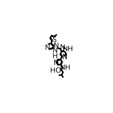 Cc1ccc(-c2cncc3[nH]c(-c4n[nH]c5cnc(-c6cncc(NC(O)CC(C)C)c6)cc45)nc23)s1